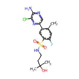 Cc1cc(F)c(S(=O)(=O)NCCC(C)(C)O)cc1-c1cnc(N)c(Cl)n1